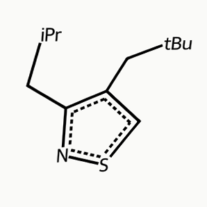 CC(C)Cc1nscc1CC(C)(C)C